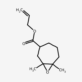 C=CCOC(=O)C1CCCC2(C)OC2(C)C1